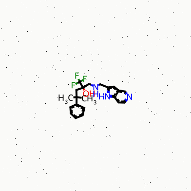 CC(C)(CC(O)(CNCc1cc2cnccc2[nH]1)C(F)(F)F)c1ccccc1